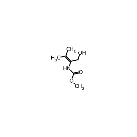 COC(=O)NC(CO)=C(C)C